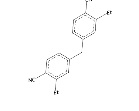 CCc1cc(Cc2ccc(C#N)c(CC)c2)ccc1C#N